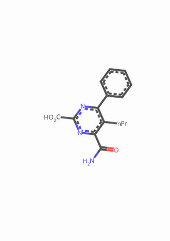 CCCc1c(C(N)=O)nc(C(=O)O)nc1-c1ccccc1